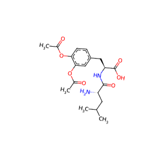 CC(=O)Oc1ccc(C[C@H](NC(=O)[C@@H](N)CC(C)C)C(=O)O)cc1OC(C)=O